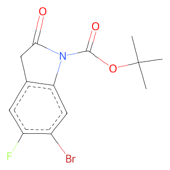 CC(C)(C)OC(=O)N1C(=O)Cc2cc(F)c(Br)cc21